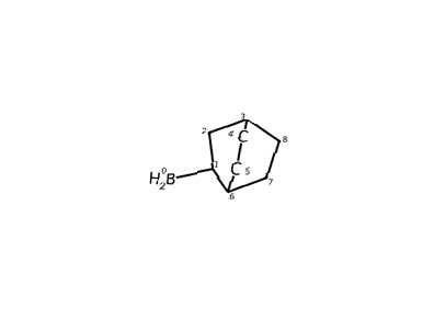 BC1CC2CCC1CC2